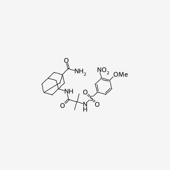 COc1ccc(S(=O)(=O)NC(C)(C)C(=O)NC23CC4CC(C2)CC(C(N)=O)(C4)C3)cc1[N+](=O)[O-]